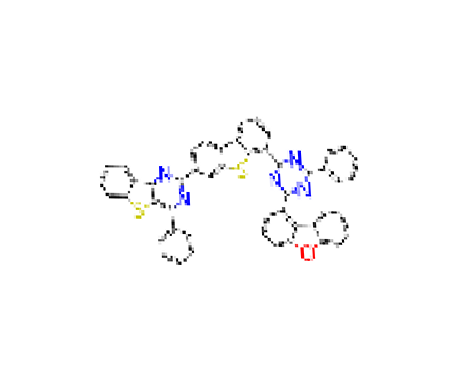 c1ccc(-c2nc(-c3cccc4c3sc3cc(-c5nc(-c6ccccc6)c6sc7ccccc7c6n5)ccc34)nc(-c3cccc4oc5ccccc5c34)n2)cc1